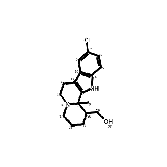 CC12c3[nH]c4ccc(Cl)cc4c3CCN1CCCC2CO